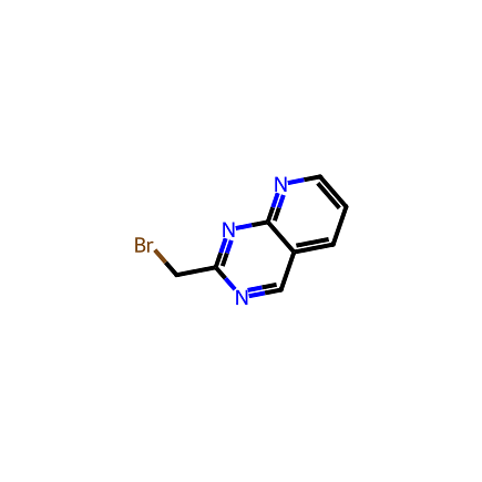 BrCc1ncc2cccnc2n1